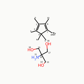 CC1=C(C)C(C)(C)[C]([Zr])=C1C.NC(CO)(CO)CO